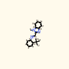 Cn1c(/C=N/c2ccccc2C(C)(C)C)nc2ccccc21